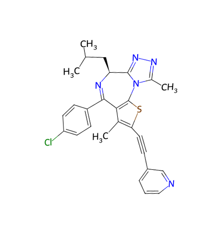 Cc1c(C#Cc2cccnc2)sc2c1C(c1ccc(Cl)cc1)=N[C@@H](CC(C)C)c1nnc(C)n1-2